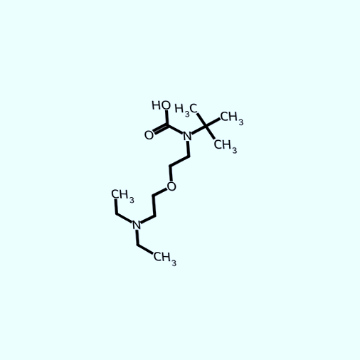 CCN(CC)CCOCCN(C(=O)O)C(C)(C)C